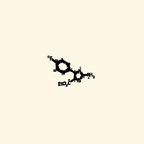 CCOC(=O)c1sc(N)nc1-c1ccc(F)cc1